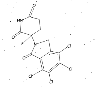 O=C1CCC(F)(N2Cc3c(Cl)c(Cl)c(Cl)c(Cl)c3C2=O)C(=O)N1